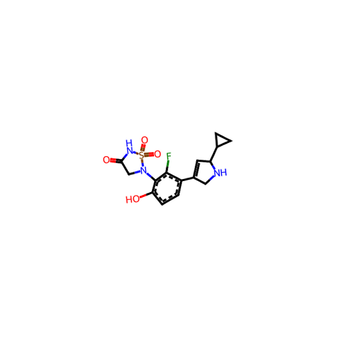 O=C1CN(c2c(O)ccc(C3=CC(C4CC4)NC3)c2F)S(=O)(=O)N1